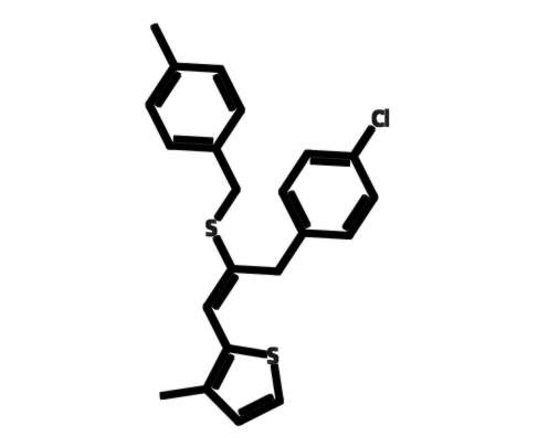 Cc1ccc(CS/C(=C/c2sccc2C)Cc2ccc(Cl)cc2)cc1